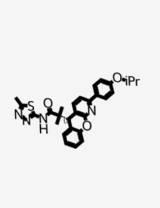 Cc1nnc(NC(=O)C(C)(C)[C@H]2c3ccccc3Oc3nc(-c4ccc(OC(C)C)cc4)ccc32)s1